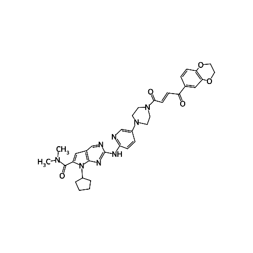 CN(C)C(=O)c1cc2cnc(Nc3ccc(N4CCN(C(=O)/C=C/C(=O)c5ccc6c(c5)OCCO6)CC4)cn3)nc2n1C1CCCC1